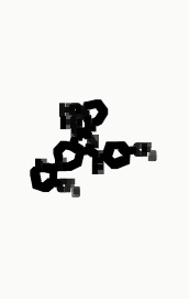 OS1(O)CCCCN1c1nc2c(c(Nc3ccc(C(F)(F)F)cc3)n1)CCN(c1ncccc1C(F)(F)F)CC2